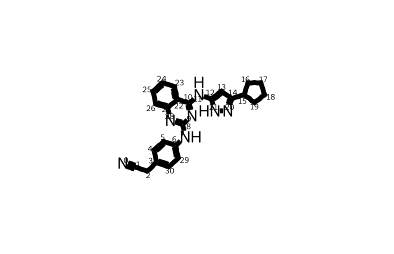 N#CCc1ccc(Nc2nc(Nc3cc(C4CCCC4)n[nH]3)c3ccccc3n2)cc1